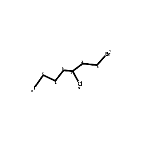 ClC(CCBr)CCCI